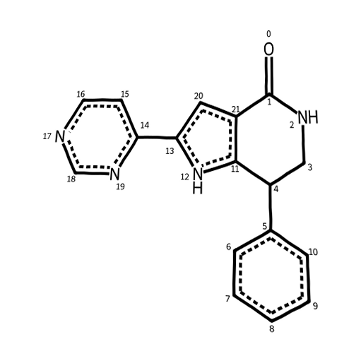 O=C1NCC(c2ccccc2)c2[nH]c(-c3ccncn3)cc21